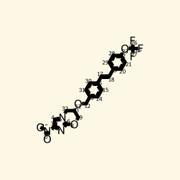 O=[N+]([O-])c1cn2c(n1)OC[C@@H](OCc1ccc(/C=C/c3ccc(OC(F)(F)F)cc3)cc1)C2